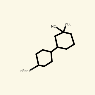 CCCCCC1CCC(C2CCCC(C#N)(CCCC)C2)CC1